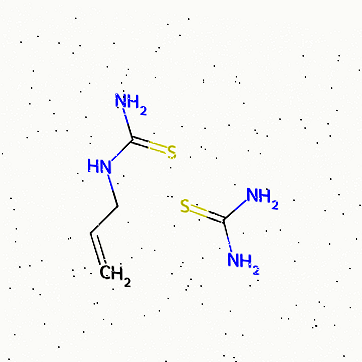 C=CCNC(N)=S.NC(N)=S